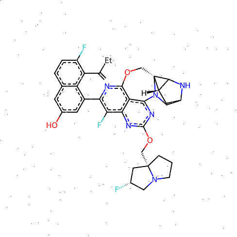 C=C(CC)c1c(F)ccc2cc(O)cc(-c3nc4c5c(nc(OC[C@]67CCCN6C[C@H](F)C7)nc5c3F)N3CC5C[C@H]6C(N5)[C@@]63CO4)c12